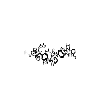 CC(c1ccc(Nc2nccc(N(C)c3ccc4c(c3)nc(NC3CCCCC3)n4C)n2)cc1)S(C)(=O)=O